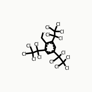 [CH2]Cc1c(C(Cl)(Cl)C(Cl)(Cl)Cl)cc(C(Cl)(Cl)C(Cl)(Cl)Cl)cc1C(Cl)(Cl)C(Cl)(Cl)Cl